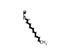 [CH2]CCCCCCCCCCN=C=O